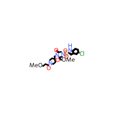 COCCC(=O)N1CCC2(CC1)CN1C(=O)CN(S(=O)(=O)c3cc4cc(Cl)ccc4[nH]3)CC1(COC)O2